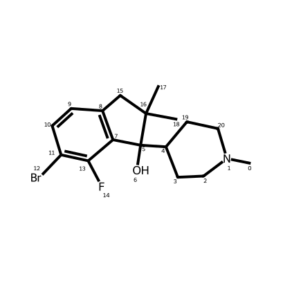 CN1CCC(C2(O)c3c(ccc(Br)c3F)CC2(C)C)CC1